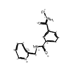 CCNC(=O)c1cccc(C(=O)NCc2ccccn2)c1